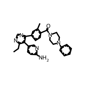 CCc1ncnc(-c2ccc(C(=O)N3CCN(c4ccccc4)CC3)c(C)c2)c1-c1ccc(N)nc1